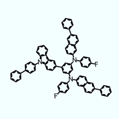 Fc1ccc(N(c2cc(-c3ccc4c(c3)c3ccccc3n4-c3ccc(-c4ccccc4)cc3)cc(N(c3ccc(F)cc3)c3ccc4cc(-c5ccccc5)ccc4c3)c2)c2ccc3cc(-c4ccccc4)ccc3c2)cc1